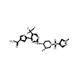 Cn1cc(S(=O)(=O)N2CC[C@H](Nc3ncc(C(F)(F)F)c(-c4cc(C(N)=O)cs4)n3)[C@H](F)C2)cn1